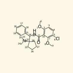 COc1ccc(Cl)c(OC)c1C(=O)NC(c1ccccc1)C1(N(C)C)CCCC1